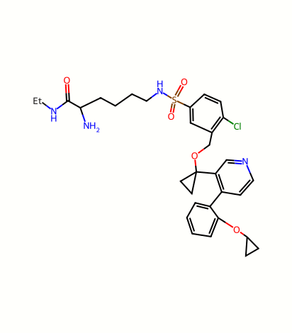 CCNC(=O)C(N)CCCCNS(=O)(=O)c1ccc(Cl)c(COC2(c3cnccc3-c3ccccc3OC3CC3)CC2)c1